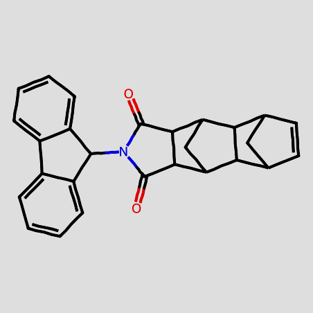 O=C1C2C3CC(C2C(=O)N1C1c2ccccc2-c2ccccc21)C1C2C=CC(C2)C31